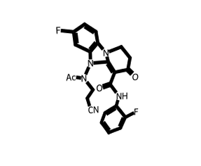 CC(=O)N(CCC#N)N1C2=C(C(=O)Nc3ccccc3F)C(=O)CCN2c2ccc(F)cc21